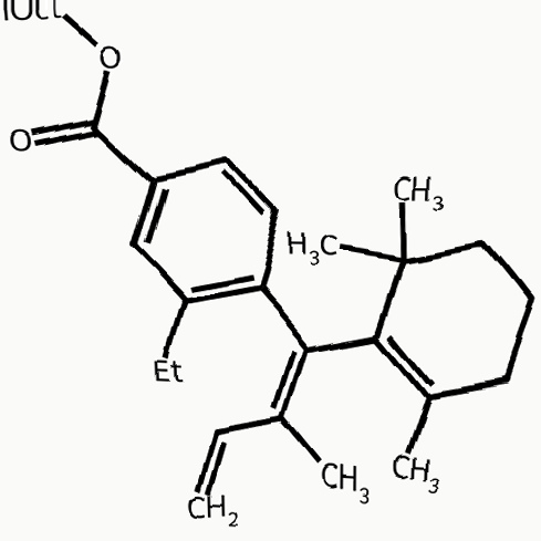 C=C/C(C)=C(/C1=C(C)CCCC1(C)C)c1ccc(C(=O)OCCCCCCCC)cc1CC